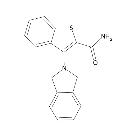 NC(=O)c1sc2ccccc2c1N1Cc2ccccc2C1